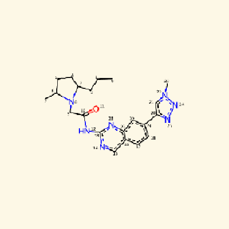 CCCC1CCC(C)N1CC(=O)Nc1ncc2ccc(-c3cn(C)nn3)cc2n1